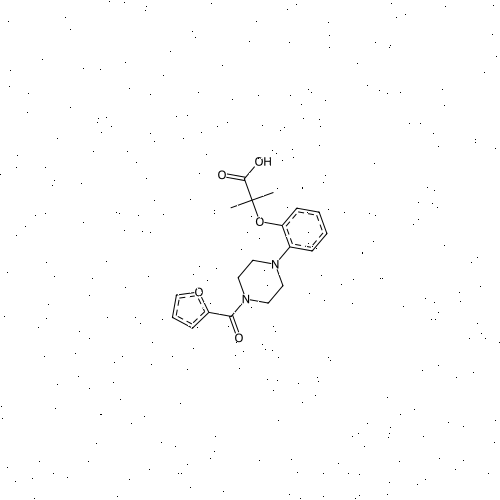 CC(C)(Oc1ccccc1N1CCN(C(=O)c2ccco2)CC1)C(=O)O